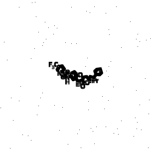 CCC[C@@]1(CCc2ccccc2)CC(O)=C(C(CC)c2cccc(NS(=O)(=O)c3ccc(C(F)(F)F)cn3)c2)C(=O)O1